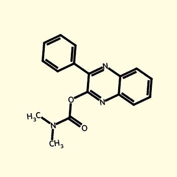 CN(C)C(=O)Oc1nc2ccccc2nc1-c1ccccc1